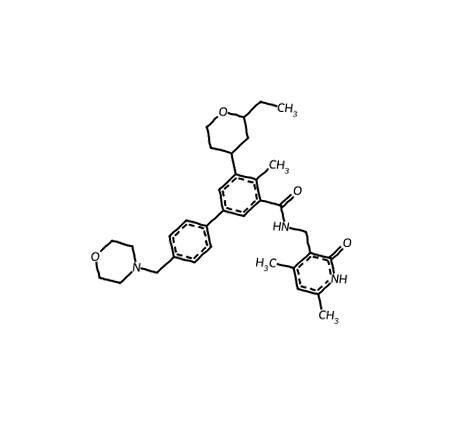 CCC1CC(c2cc(-c3ccc(CN4CCOCC4)cc3)cc(C(=O)NCc3c(C)cc(C)[nH]c3=O)c2C)CCO1